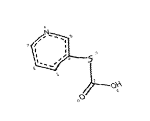 O=C(O)Sc1cccnc1